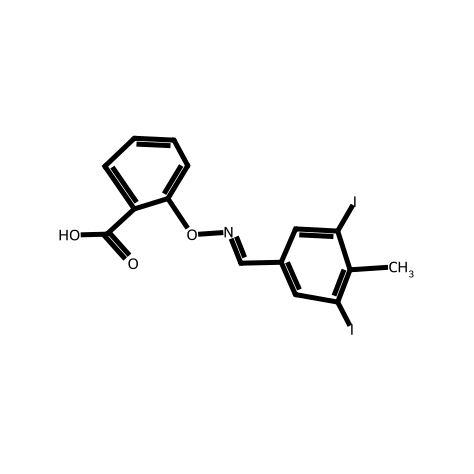 Cc1c(I)cc(/C=N/Oc2ccccc2C(=O)O)cc1I